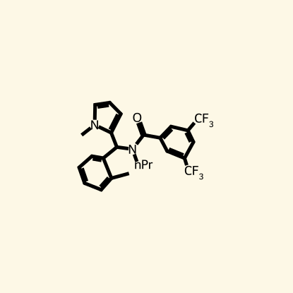 CCCN(C(=O)c1cc(C(F)(F)F)cc(C(F)(F)F)c1)C(c1ccccc1C)c1cccn1C